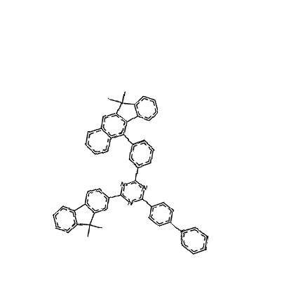 CC1(C)c2ccccc2-c2ccc(-c3nc(-c4ccc(-c5ccccc5)cc4)nc(-c4cccc(-c5c6c(cc7ccccc57)C(C)(C)c5ccccc5-6)c4)n3)cc21